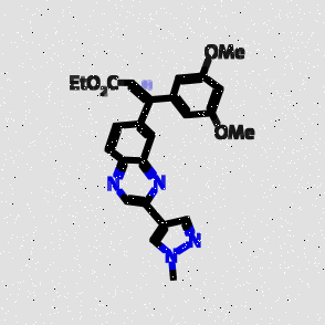 CCOC(=O)/C=C(/c1cc(OC)cc(OC)c1)c1ccc2ncc(-c3cnn(C)c3)nc2c1